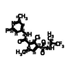 Cc1cc(NC(=O)c2c(Cl)c(S(=O)(=O)NC(C)C(F)(F)F)cn2C)cc(F)n1